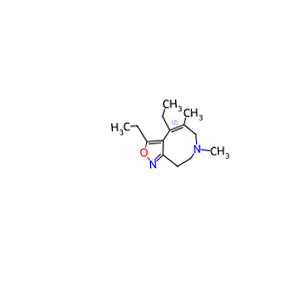 CC/C1=C(\C)CN(C)CCc2noc(CC)c21